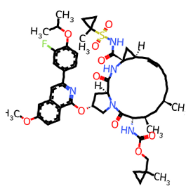 COc1ccc2c(O[C@@H]3C[C@H]4C(=O)N[C@]5(C(=O)NS(=O)(=O)C6(C)CC6)C[C@H]5/C=C\CC[C@@H](C)C[C@@H](C)[C@H](NC(=O)OCC5(C)CC5)C(=O)N4C3)nc(-c3ccc(OC(C)C)c(F)c3)cc2c1